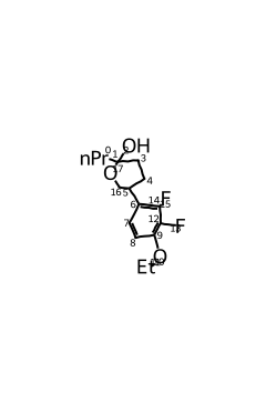 CCCC1(O)CCC(c2ccc(OCC)c(F)c2F)CO1